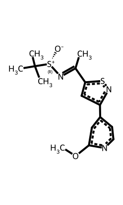 COc1cc(-c2cc(C(C)=N[S@@+]([O-])C(C)(C)C)sn2)ccn1